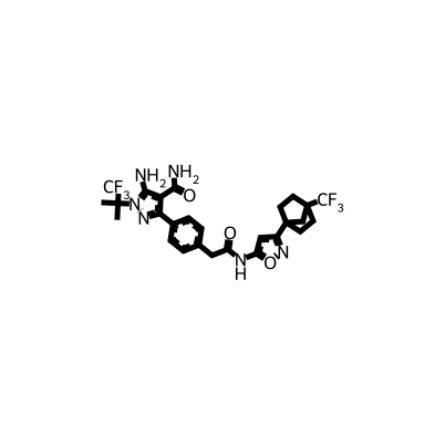 CC(C)(n1nc(-c2ccc(CC(=O)Nc3cc(C45CCC(C(F)(F)F)(CC4)C5)no3)cc2)c(C(N)=O)c1N)C(F)(F)F